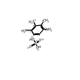 Cc1c(N)ccc(N)c1C.O=S(=O)(O)O